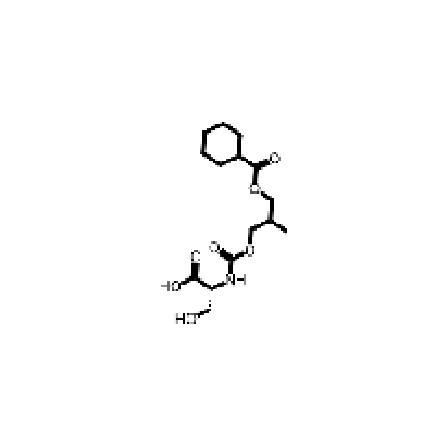 CC(COC(=O)N[C@H](CO)C(=O)O)COC(=O)C1CCCCC1